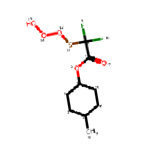 CC1CCC(OC(=O)C(F)(F)SOOO)CC1